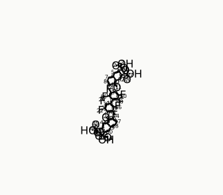 O=S(=O)(O)c1cc2cccc(Oc3c(F)c(F)c(-c4c(F)c(F)c(Oc5cccc6cc(S(=O)(=O)O)c(S(=O)(=O)O)cc56)c(F)c4F)c(F)c3F)c2cc1S(=O)(=O)O